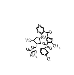 Cc1sc(C(=O)c2cncnc2N[C@@H]2C[C@H](COS(N)(=O)=O)[C@@H](O)C2)cc1S(=O)(=O)c1cccc(Cl)c1